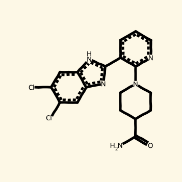 NC(=O)C1CCN(c2ncccc2-c2nc3cc(Cl)c(Cl)cc3[nH]2)CC1